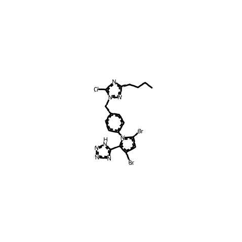 CCCCc1nc(Cl)n(Cc2ccc(-n3c(Br)cc(Br)c3-c3nnn[nH]3)cc2)n1